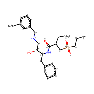 COc1cccc(CNC[C@@H](O)[C@H](Cc2ccccc2)NC(=O)C(CC(=O)O)CS(=O)(=O)CCC(C)C)c1